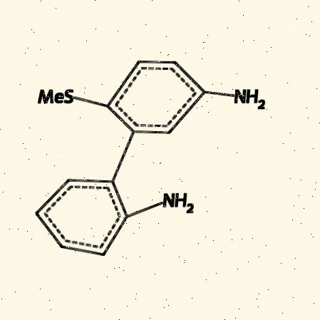 CSc1ccc(N)cc1-c1ccccc1N